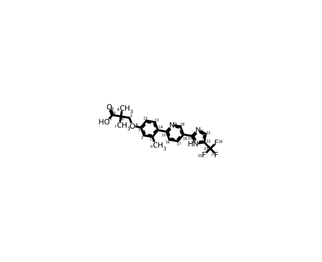 Cc1cc(OCC(C)(C)C(=O)O)ccc1-c1ccc(-c2ncc(C(F)(F)F)[nH]2)cn1